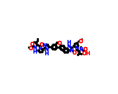 CC[C@H](C)[C@H](NC(=O)OC)C(=O)N1[C@@H](C)CC[C@H]1c1ncc(-c2ccc3c(c2)COc2cc4c(ccc5nc([C@@H]6C[C@H](COC)CN6C(=O)[C@H](C(C)C)N(C)C(=O)O)[nH]c54)cc2-3)[nH]1